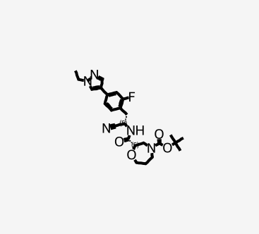 CCn1cc(-c2ccc(C[C@@H](C#N)NC(=O)[C@@H]3CN(C(=O)OC(C)(C)C)CCCO3)c(F)c2)cn1